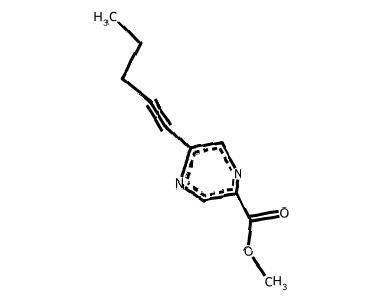 CCCC#Cc1cnc(C(=O)OC)cn1